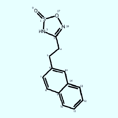 O=S1NC(CCc2ccc3ccccc3c2)=NO1